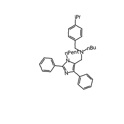 CCCCCn1c(-c2ccccc2)nc(-c2ccccc2)c1CN(CCCC)Cc1ccc(C(C)C)cc1